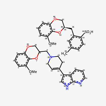 COc1cccc2c1OC(CN1CC=C(c3c[nH]c4ncccc34)CC1)CO2.COc1cccc2c1O[C@H](Cc1cc(C)ccc1S(=O)(=O)O)CO2